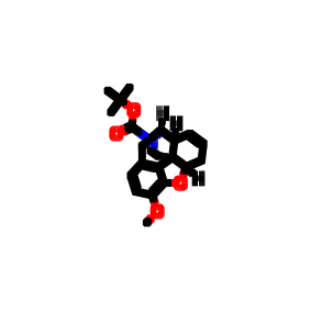 COc1ccc2c3c1O[C@H]1CC=C[C@H]4[C@@H](C2)N(C(=O)OC(C)(C)C)CC[C@]314